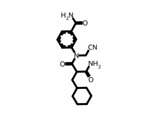 N#CCN(C(=O)C(CC1CCCCC1)C(N)=O)c1cccc(C(N)=O)c1